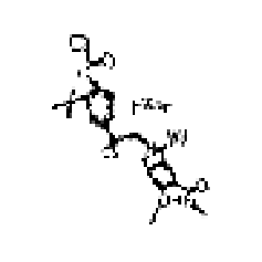 Br.CCOc1cc2c(cc1C(=O)NC)C(=N)N(CC(=O)c1ccc(OC(=O)N3CCCC3)c(C(C)(C)C)c1)C2